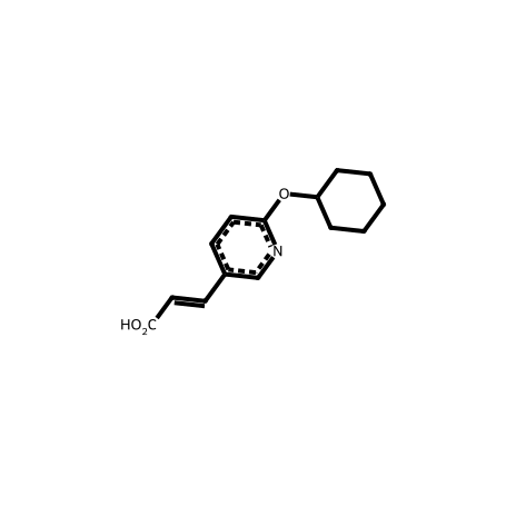 O=C(O)C=Cc1ccc(OC2CCCCC2)nc1